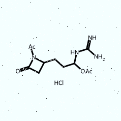 CC(=O)OC(CCC1CC(=O)N1C(C)=O)NC(=N)N.Cl